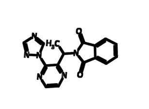 CC(c1nccnc1-n1cncn1)N1C(=O)c2ccccc2C1=O